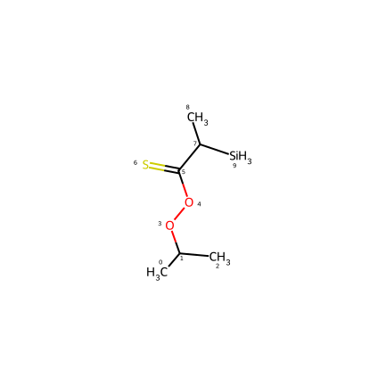 CC(C)OOC(=S)C(C)[SiH3]